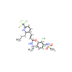 CCCc1nc(C(F)(F)F)ccc1C=CC(=O)NC(C)c1ccc(NS(C)(=O)=O)c(F)c1